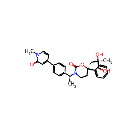 C[C@@H](c1ccc(-c2ccn(C)c(=O)c2)cc1)N1CC[C@](C[C@@](C)(O)CO)(c2ccccc2)OC1=O